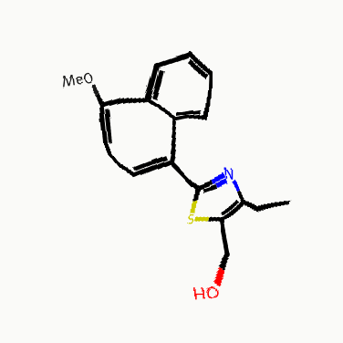 COc1ccc(-c2nc(C)c(CO)s2)c2ccccc12